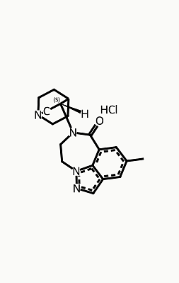 Cc1cc2c3c(cnn3CCN([C@@H]3CN4CCC3CC4)C2=O)c1.Cl